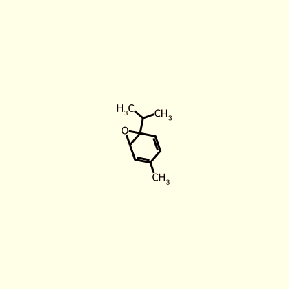 CC1=CC2OC2(C(C)C)C=C1